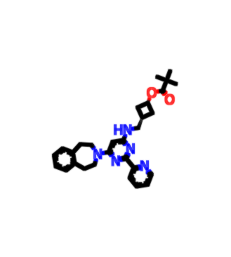 CC(C)(C)C(=O)O[C@H]1C[C@@H](CNc2cc(N3CCc4ccccc4CC3)nc(-c3ccccn3)n2)C1